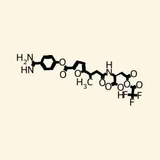 CC(CC(=O)N[C@@H](CC(=O)OC(=O)C(F)(F)F)C(=O)O)c1ccc(C(=O)Oc2ccc(C(=N)N)cc2)o1